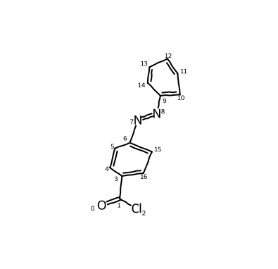 O=C(Cl)c1ccc(N=Nc2ccccc2)cc1